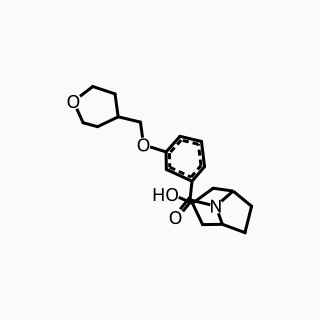 O=C(c1cccc(OCC2CCOCC2)c1)N1C2CCC1CC(O)C2